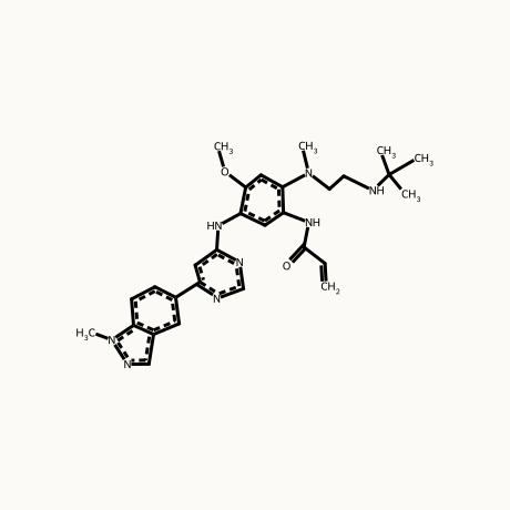 C=CC(=O)Nc1cc(Nc2cc(-c3ccc4c(cnn4C)c3)ncn2)c(OC)cc1N(C)CCNC(C)(C)C